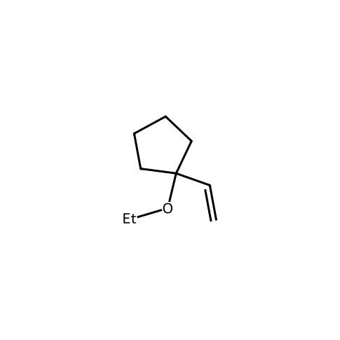 C=CC1(OCC)CCCC1